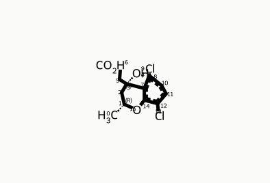 C[C@@H]1C[C@@](O)(CC(=O)O)c2c(Cl)ccc(Cl)c2O1